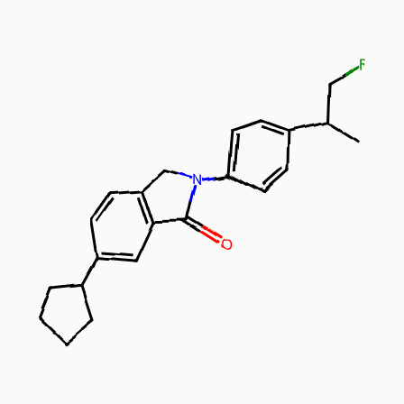 CC(CF)c1ccc(N2Cc3ccc(C4CCCC4)cc3C2=O)cc1